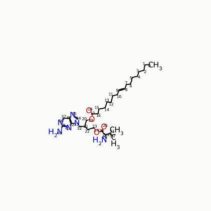 CCCCCCCCC=CCCCCCCCC(=O)OCC(CCOC(=O)[C@@H](N)C(C)C)Cn1cnc2cnc(N)nc21